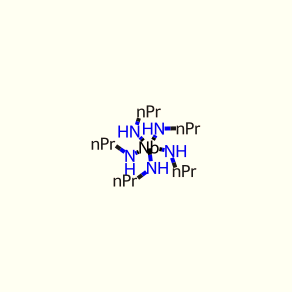 CCC[NH][Nb]([NH]CCC)([NH]CCC)([NH]CCC)[NH]CCC